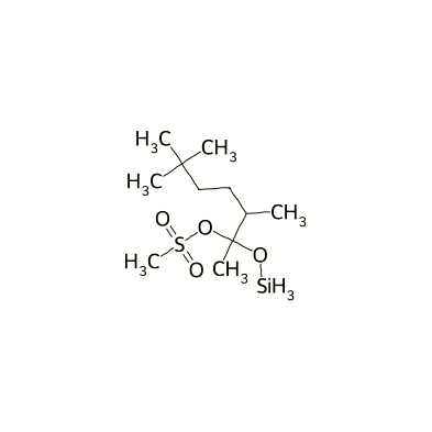 CC(CCC(C)(C)C)C(C)(O[SiH3])OS(C)(=O)=O